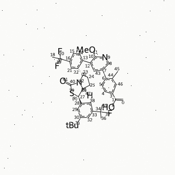 C=C(O)c1ccc(-c2cnc(OC)c(-c3ccc(C(C)(F)F)cc3[C@@H]3CC[C@H]4[C@@H](c5cc(C(C)(C)C)cc(C(C)(C)F)c5)SC(=O)N34)c2)c(C)c1